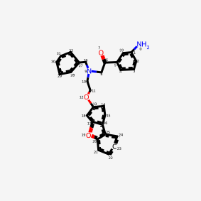 Nc1cccc(C(=O)CN(CCOc2ccc3c(c2)oc2ccccc23)Cc2ccccc2)c1